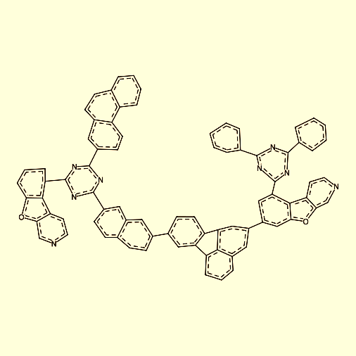 c1ccc(-c2nc(-c3ccccc3)nc(-c3cc(-c4cc5c6c(cccc6c4)-c4cc(-c6ccc7ccc(-c8nc(-c9ccc%10c(ccc%11ccccc%11%10)c9)nc(-c9cccc%10oc%11cnccc%11c9%10)n8)cc7c6)ccc4-5)cc4oc5cnccc5c34)n2)cc1